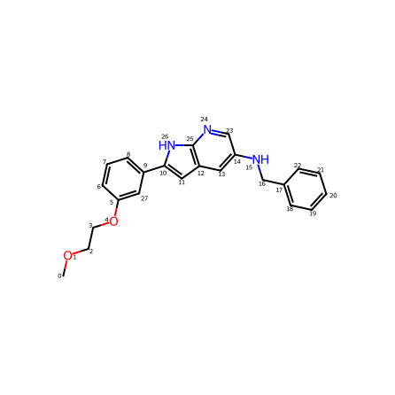 COCCOc1cccc(-c2cc3cc(NCc4ccccc4)cnc3[nH]2)c1